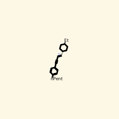 CCCCCc1ccc(C#C/C=C/[C@H]2CC[C@H](CC)CC2)cc1